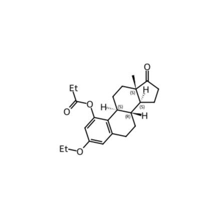 CCOc1cc2c(c(OC(=O)CC)c1)[C@H]1CC[C@]3(C)C(=O)CC[C@H]3[C@@H]1CC2